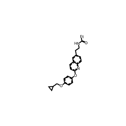 CCC(=O)NCCc1ccc2nc(Oc3ccc(OCC4CC4)cc3)ccc2c1